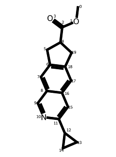 COC(=O)C1Cc2cc3cnc(C4CC4)cc3cc2C1